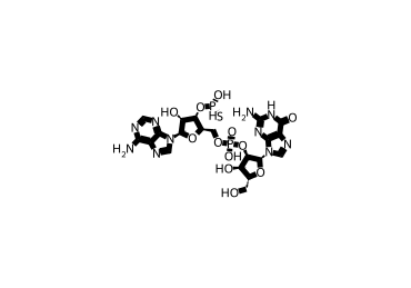 Nc1nc2c(ncn2[C@@H]2O[C@H](CO)[C@@H](O)[C@H]2OP(=O)(O)OC[C@H]2O[C@@H](n3cnc4c(N)ncnc43)[C@H](O)[C@@H]2O[PH](O)=S)c(=O)[nH]1